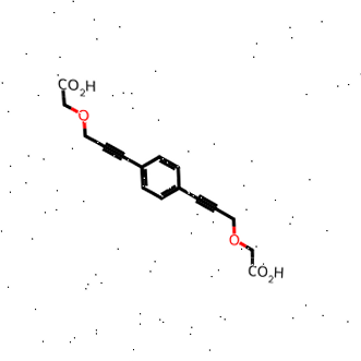 O=C(O)COCC#Cc1ccc(C#CCOCC(=O)O)cc1